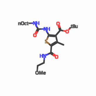 CCCCCCCCNC(=O)Nc1sc(C(=O)NCCOC)c(C)c1C(=O)OC(C)(C)C